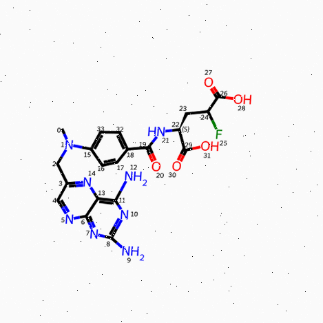 CN(Cc1cnc2nc(N)nc(N)c2n1)c1ccc(C(=O)N[C@@H](CC(F)C(=O)O)C(=O)O)cc1